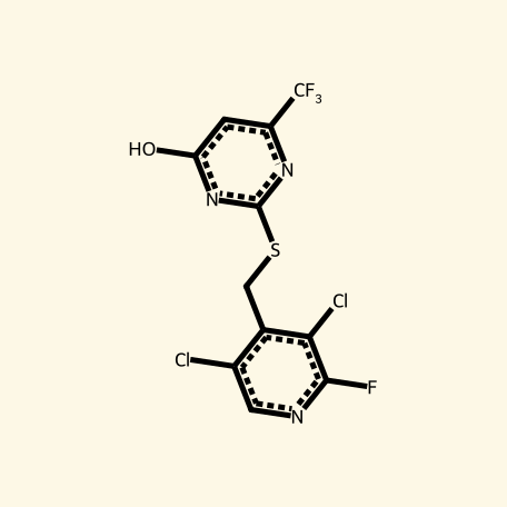 Oc1cc(C(F)(F)F)nc(SCc2c(Cl)cnc(F)c2Cl)n1